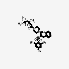 CC(C)c1cc(C(C)C)c(S(=O)(=O)NC(Cc2ccccc2)C(=O)N2CCN(C(=O)CC(C)(C)CC(C)(C)N)CC2)c(C(C)C)c1